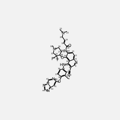 Cc1cc(Nc2c(C#N)cnc3ccc(NC(=O)/C=C/CN(C)C)c(OC4CCN(C)CC4(F)F)c23)ccc1Oc1cc2ncnn2cn1